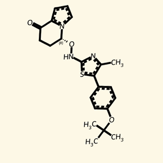 Cc1nc(NO[C@@H]2CCC(=O)c3cccn32)sc1-c1ccc(OC(C)(C)C)cc1